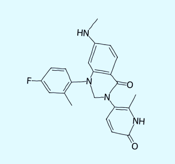 CNc1ccc2c(c1)N(c1ccc(F)cc1C)CN(c1ccc(=O)[nH]c1C)C2=O